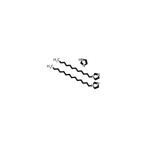 CCCCCCCCCCCCCCn1ccnc1.CCCCCCCCCCCCn1ccnc1.c1c[nH]cn1